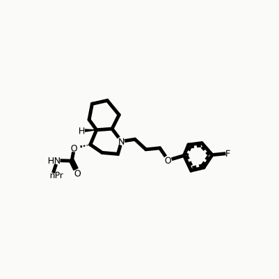 CCCNC(=O)O[C@H]1CCN(CCCOc2ccc(F)cc2)C2CCCC[C@H]21